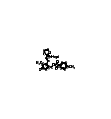 CCCCCCCC1(CC[C@H]2[C@H](COS(=O)(=O)c3ccc(C)cc3)CC(=O)[C@@H]2C)OCCO1